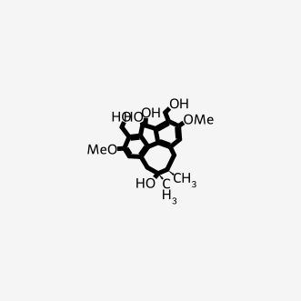 COc1cc2c(c(CO)c1CO)-c1c(cc(OC)c(CO)c1CO)C[C@](C)(O)[C@@H](C)C2